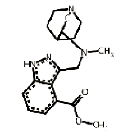 COC(=O)c1cccc2[nH]nc(CN(C)C3CN4CCC3CC4)c12